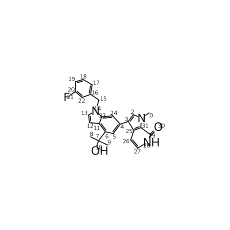 Cn1cc(-c2cc(C(C)(C)O)c3ccn(Cc4cccc(F)c4)c3c2)c2cc[nH]c(=O)c21